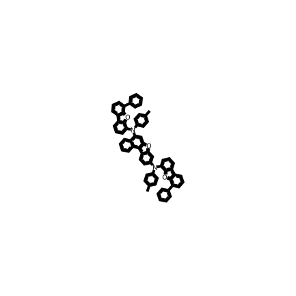 Cc1ccc(N(c2ccc3c(c2)oc2cc(N(c4ccc(C)cc4)c4cccc5c4oc4c(-c6ccccc6)cccc45)c4ccccc4c23)c2cccc3c2oc2c(-c4ccccc4)cccc23)cc1